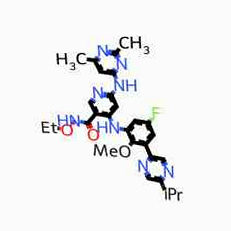 CCONC(=O)c1cnc(Nc2cc(C)nc(C)n2)cc1Nc1cc(F)cc(-c2cnc(C(C)C)cn2)c1OC